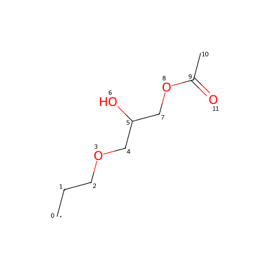 [CH2]CCOCC(O)COC(C)=O